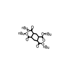 CCCCOC(=O)C1CC(C(=O)OCCCC)C(C(=O)OCCCC)CC1C(=O)OCCCC